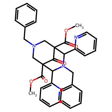 COC(=O)C12CN(Cc3ccccc3)CC(C(=O)OC)(C1=O)C(c1ccccn1)N(Cc1ccccc1)C2c1ccccn1